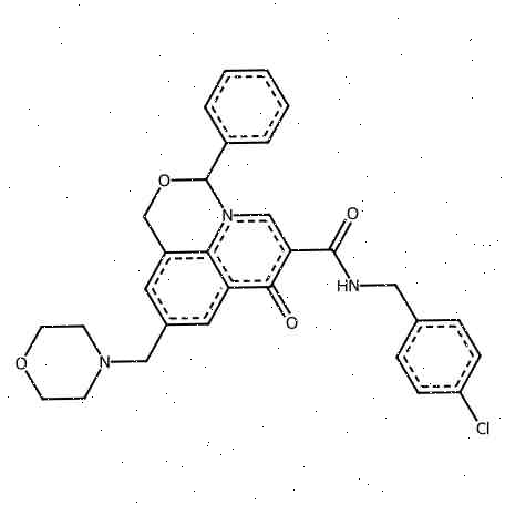 O=C(NCc1ccc(Cl)cc1)c1cn2c3c(cc(CN4CCOCC4)cc3c1=O)COC2c1ccccc1